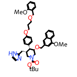 COc1ccccc1COCCCOc1ccc([C@H]2[C@@H](Cc3ncc[nH]3)CN(C(=O)OC(C)(C)C)C[C@@H]2OCc2cc(OC)c3ccccc3c2)cc1